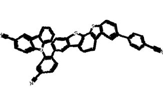 N#Cc1ccc(-c2ccc3sc4c(ccc5c6cc(-c7ccc(C#N)cc7-n7c8ccccc8c8cc(C#N)ccc87)ccc6sc54)c3c2)cc1